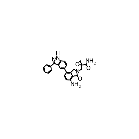 NC(=O)C1(CN2Cc3c(-c4ccc5[nH]nc(-c6ccccc6)c5c4)ccc(N)c3C2=O)CO1